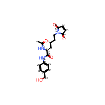 CC(=O)N[C@@H](CCCCN1C(=O)C=CC1=O)C(=O)Nc1ccc(CO)cc1